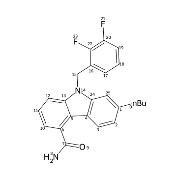 CCCCc1c[c]c2c3c(C(N)=O)cccc3n(Cc3cccc(F)c3F)c2c1